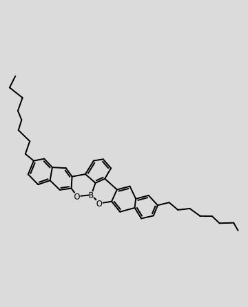 CCCCCCCCc1ccc2cc3c(cc2c1)-c1cccc2c1B(O3)Oc1cc3ccc(CCCCCCCC)cc3cc1-2